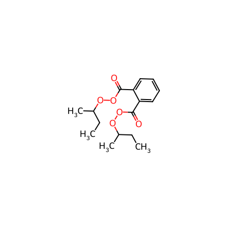 CCC(C)OOC(=O)c1ccccc1C(=O)OOC(C)CC